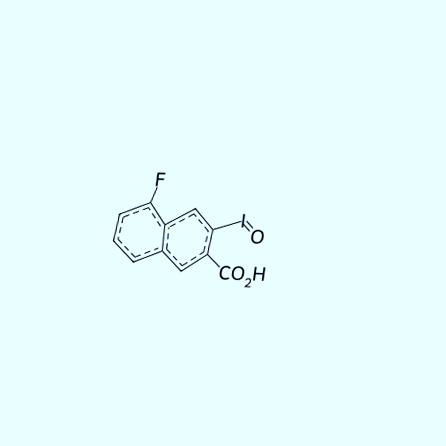 O=Ic1cc2c(F)cccc2cc1C(=O)O